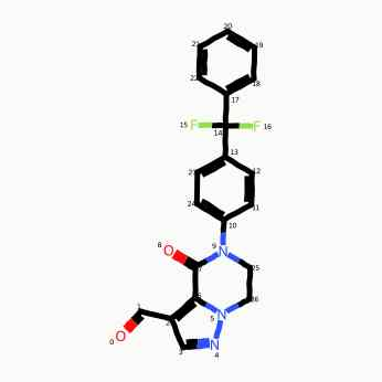 O=Cc1cnn2c1C(=O)N(c1ccc(C(F)(F)c3ccccc3)cc1)CC2